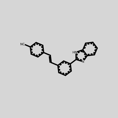 N#Cc1ccc(C=Cc2cccc(-c3nc4ccccc4[nH]3)c2)cc1